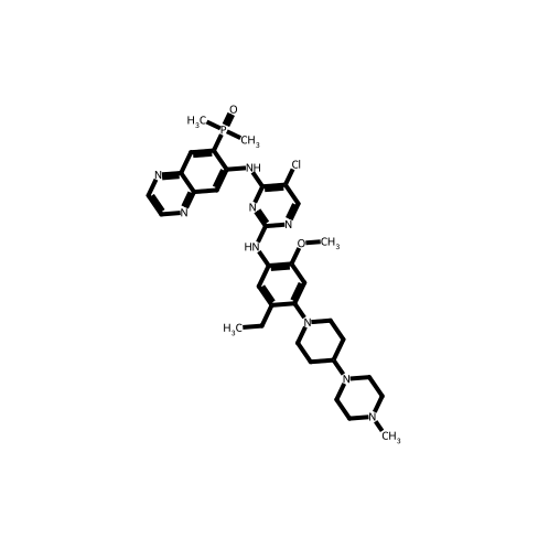 CCc1cc(Nc2ncc(Cl)c(Nc3cc4nccnc4cc3P(C)(C)=O)n2)c(OC)cc1N1CCC(N2CCN(C)CC2)CC1